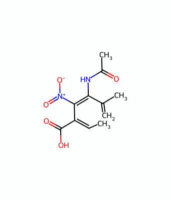 C=C(C)/C(NC(C)=O)=C(\C(=C/C)C(=O)O)[N+](=O)[O-]